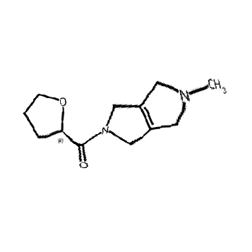 CN1CC2=C(C1)CN(C(=O)[C@H]1CCCO1)C2